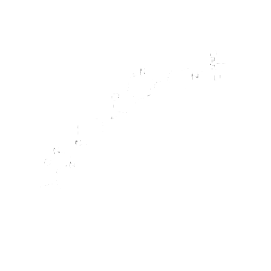 CC(C)c1nc(N2CCC([C@H]3Cc4cc(C5=CCN(S(C)(=O)=O)CC5)ncc4O3)CC2)no1